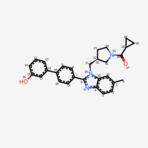 Cc1ccc2nc(-c3ccc(-c4cccc(O)c4)cc3)n(C[C@H]3CCN(C(=O)C4CC4)C3)c2c1